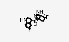 Nc1nn(C(=O)[C@@H]2CCNc3ccc(F)cc32)c2c1CC(F)CC2